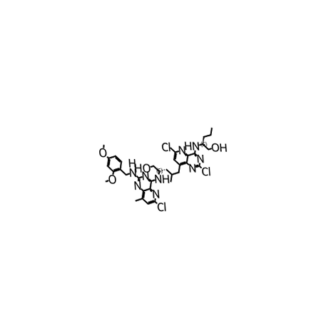 CCC[C@@H](CO)Nc1nc(Cl)nc2c(CC(C)C[C@@H](CO)Nc3nc(NCc4ccc(OC)cc4OC)nc4c(C)cc(Cl)nc34)cc(Cl)nc12